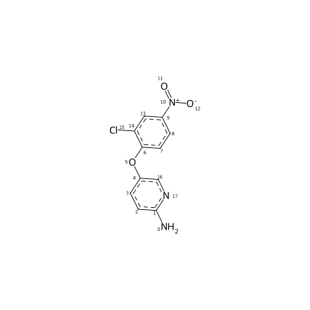 Nc1ccc(Oc2ccc([N+](=O)[O-])cc2Cl)cn1